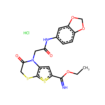 CCOC(=N)c1cc2c(s1)SCC(=O)N2CC(=O)Nc1ccc2c(c1)OCO2.Cl